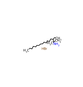 Br.CCCCCCCCCCCCCCC(CC)C(C)(C)N